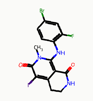 Cn1c(Nc2ccc(Br)cc2F)c2c(c(I)c1=O)CCNC2=O